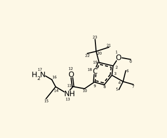 COc1c(C(C)(C)C)cc(CC(=O)NC(C)CN)cc1C(C)(C)C